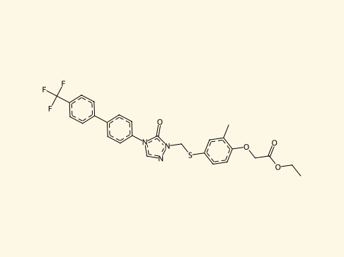 CCOC(=O)COc1ccc(SCn2ncn(-c3ccc(-c4ccc(C(F)(F)F)cc4)cc3)c2=O)cc1C